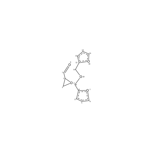 O=CC1CO1.c1coc(COCc2ccco2)c1